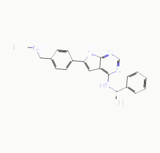 CNCc1ccc(-c2cc3c(N[C@H](C)c4ccccc4)ncnc3[nH]2)cc1